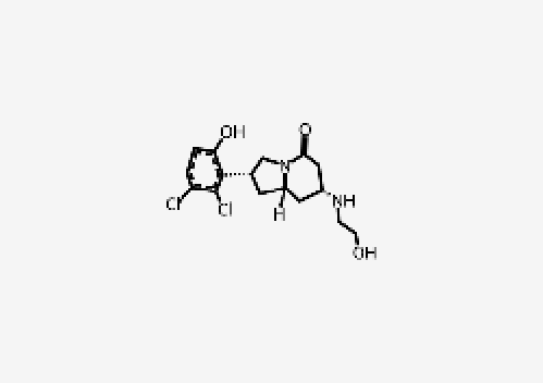 O=C1C[C@H](NCCO)C[C@@H]2C[C@H](c3c(O)ccc(Cl)c3Cl)CN12